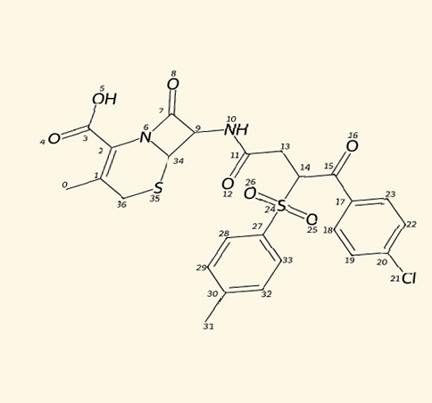 CC1=C(C(=O)O)N2C(=O)C(NC(=O)CC(C(=O)c3ccc(Cl)cc3)S(=O)(=O)c3ccc(C)cc3)C2SC1